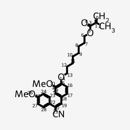 C=C(C)C(=O)OCCCCCCCCOc1ccc(C=C(C#N)c2ccc(OC)cc2)cc1OC